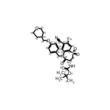 CC(C)(C)OC(=O)N[C@H]1CS(=O)(=O)c2cc(F)c(C#N)cc2N(Cc2ccc(OCC3CCOCC3)cc2)C1=O